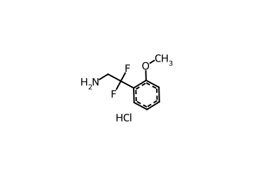 COc1ccccc1C(F)(F)CN.Cl